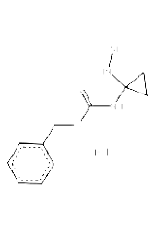 Cl.NNC1(NC(=S)OCc2ccccc2)CC1